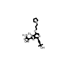 CCn1c(-c2nonc2N)nc2c(C#CC(C)(C)O)ncc(OCCCN3CCCC3)c21